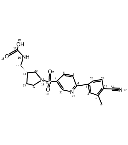 Cc1cc(-c2ccc(S(=O)(=O)N3CC[C@H](CNC(=O)O)C3)cn2)ccc1C#N